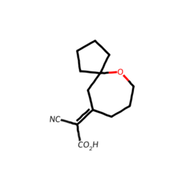 N#CC(C(=O)O)=C1CCCOC2(CCCC2)C1